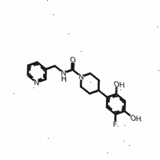 O=C(NCc1cccnc1)N1CCC(c2cc(F)c(O)cc2O)CC1